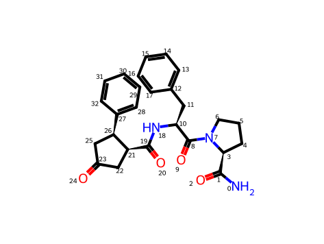 NC(=O)[C@@H]1CCCN1C(=O)[C@H](Cc1ccccc1)NC(=O)[C@H]1CC(=O)C[C@H]1c1ccccc1